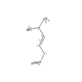 CCCCCC/C=C/C(O)C(F)(F)F